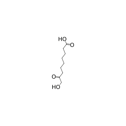 O=C(O)CCCCCCC(=O)CO